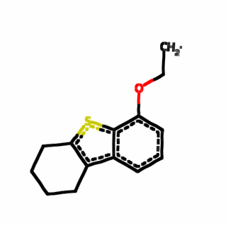 [CH2]COc1cccc2c3c(sc12)CCCC3